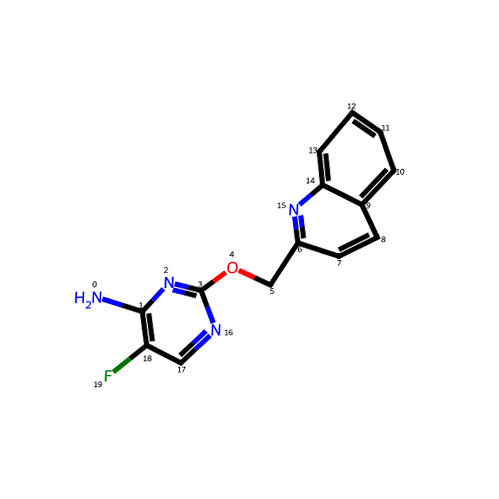 Nc1nc(OCc2ccc3ccccc3n2)ncc1F